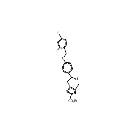 CCOC(=O)c1cc(C)n(CC(Cl)c2ccc(OCc3ccc(F)cc3F)cc2)n1